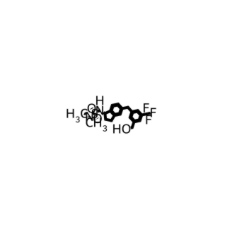 CN(C)S(=O)(=O)NC1CCc2cc(Cc3cc(CO)cc(C(F)(F)F)c3)ccc21